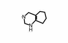 C1CCC2=C(C1)C[N]CN2